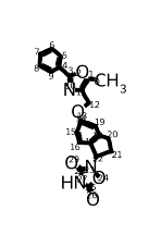 Cc1oc(-c2ccccc2)nc1COc1ccc2c(c1)CCC2n1oc(=O)[nH]c1=O